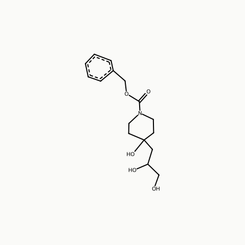 O=C(OCc1ccccc1)N1CCC(O)(CC(O)CO)CC1